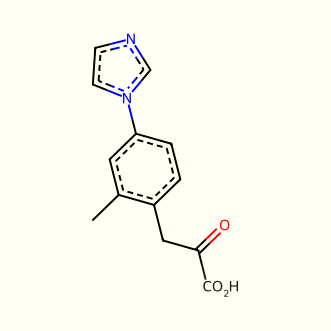 Cc1cc(-n2ccnc2)ccc1CC(=O)C(=O)O